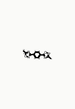 Cc1noc(-c2ccc(-c3noc(C)n3)cc2)n1